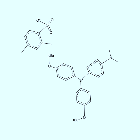 CN(C)c1ccc([S+](c2ccc(OC(C)(C)C)cc2)c2ccc(OC(C)(C)C)cc2)cc1.Cc1ccc(S(=O)(=O)[O-])c(C)c1